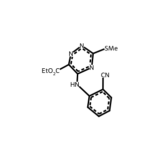 CCOC(=O)c1nnc(SC)nc1Nc1ccccc1C#N